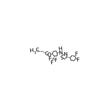 CCCCCOc1ccc(Nc2nc(-c3ccc(F)c(F)c3)cs2)cc1C(F)(F)F